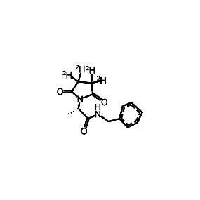 [2H]C1([2H])C(=O)N([C@@H](C)C(=O)NCc2ccccc2)C(=O)C1([2H])[2H]